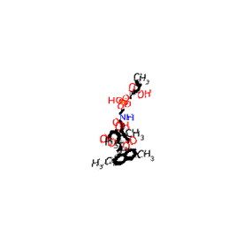 C[C@H]1C=C2C=C[C@H](C)[C@H](CC[C@@H]3C[C@@H](O)CC(=O)O3)[C@H]2[C@@H](OC(=O)C(C)(C)CCC(=O)NCCOP(=O)(O)OC[C@H]2O[C@@H](C)CC2O)C1